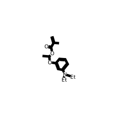 C=C(C)C(=O)OC(C)Oc1cccc(N(CC)CC)c1